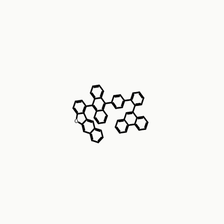 c1ccc(-c2cc3ccccc3c3ccccc23)c(-c2ccc(-c3c4ccccc4c(-c4cccc5oc6cc7ccccc7cc6c45)c4ccccc34)cc2)c1